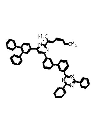 C=C/C=C\C=C(/C)c1nc(-c2cccc(-c3cccc(-c4nc(-c5ccccc5)nc(-c5ccccc5)n4)c3)c2)cc(-c2ccc(-c3ccccc3)c(-c3ccccc3)c2)n1